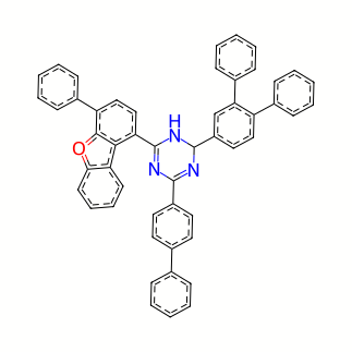 c1ccc(-c2ccc(C3=NC(c4ccc(-c5ccccc5)c(-c5ccccc5)c4)NC(c4ccc(-c5ccccc5)c5oc6ccccc6c45)=N3)cc2)cc1